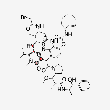 CC[C@H](C)[C@@H]([C@@H](CC(=O)N1CCC[C@H]1[C@H](OC)[C@@H](C)C(=O)N[C@H](C)[C@@H](O)c1ccccc1)OC)N(C)C(=O)[C@@H](NC(=O)[C@H](C(C)C)N(C)C(=O)OCc1ccc(OC(=O)NC2/C=C/CCCCC2)c(NC(=O)CCNC(=O)CBr)c1)C(C)C